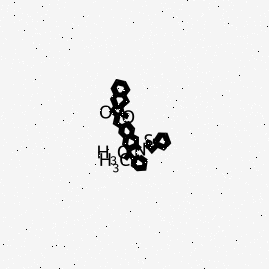 CC1(C)c2ccccc2N(c2cc3ccccc3s2)c2cc3ccc(C=C4C(=O)c5cc6ccccc6cc5C4=O)cc3cc21